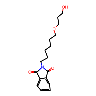 O=C1c2ccccc2C(=O)N1CCCCCCOCCCO